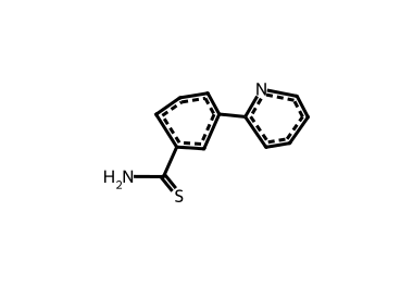 NC(=S)c1cccc(-c2ccccn2)c1